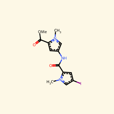 COC(=O)c1cc(NC(=O)c2cc(I)cn2C)cn1C